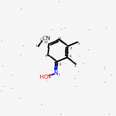 CC#N.CC1=C(C)C(=NO)CC=C1